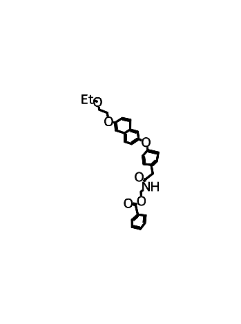 CCOCCOc1ccc2cc(Oc3ccc(CC(=O)NCOC(=O)c4ccccc4)cc3)ccc2c1